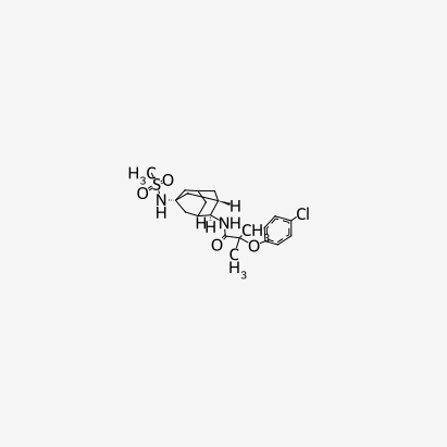 CC(C)(Oc1ccc(Cl)cc1)C(=O)N[C@H]1[C@@H]2CC3C[C@H]1C[C@](NS(C)(=O)=O)(C3)C2